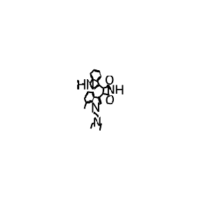 CCN(CC)CCn1cc(C2=C(c3c[nH]c4ccccc34)C(=O)NC2=O)c2cccc(C)c21